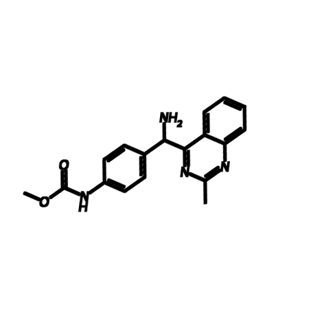 COC(=O)Nc1ccc(C(N)c2nc(C)nc3ccccc23)cc1